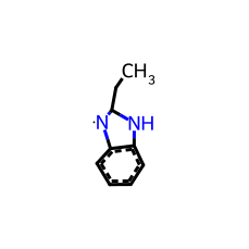 CCC1[N]c2ccccc2N1